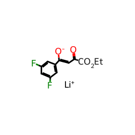 CCOC(=O)C(=O)C=C([O-])c1cc(F)cc(F)c1.[Li+]